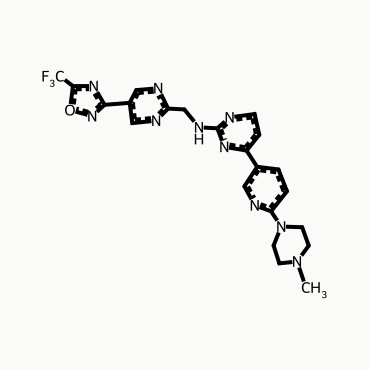 CN1CCN(c2ccc(-c3ccnc(NCc4ncc(-c5noc(C(F)(F)F)n5)cn4)n3)cn2)CC1